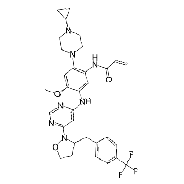 C=CC(=O)Nc1cc(Nc2cc(N3OCCC3Cc3ccc(C(F)(F)F)cc3)ncn2)c(OC)cc1N1CCN(C2CC2)CC1